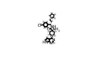 NC1(C(=O)N[C@@H](CCN2CCCC2)c2ccc(Cl)cc2)CCN(c2ncnc3[nH]ccc23)CC1